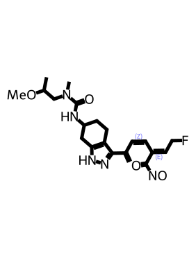 C=C(/C=C\C(=C/CF)C(=O)N=O)c1n[nH]c2c1CCC(NC(=O)N(C)CC(C)OC)C2